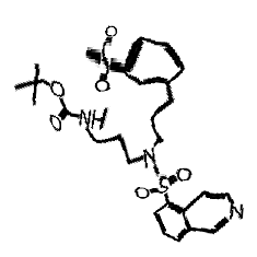 CC(C)(C)OC(=O)NCCCN(CCCc1cccc(S(C)(=O)=O)c1)S(=O)(=O)c1cccc2cnccc12